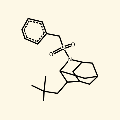 CC(C)(C)CC1C2CC3CC(C2)N(S(=O)(=O)Cc2ccccc2)C1C3